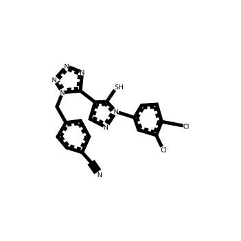 N#Cc1ccc(Cn2nnnc2-c2cnn(-c3ccc(Cl)c(Cl)c3)c2S)cc1